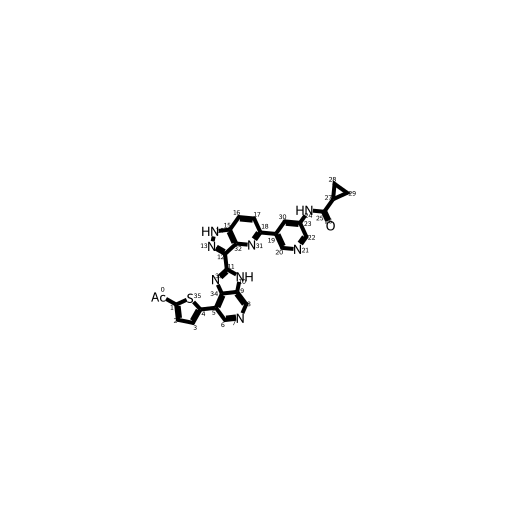 CC(=O)c1ccc(-c2cncc3[nH]c(-c4n[nH]c5ccc(-c6cncc(NC(=O)C7CC7)c6)nc45)nc23)s1